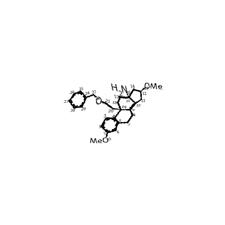 COc1ccc2c(c1)CCC1=C3C[C@H](OC)C[C@]3(N)CC[C@]12CCOCc1ccccc1